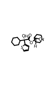 O=C(O[C@H]1CN2CCC1CC2)[C@@](O)(c1cccs1)C1CCCCC1